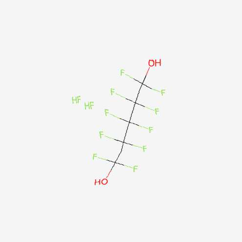 F.F.OC(F)(F)C(F)(F)C(F)(F)C(F)(F)C(O)(F)F